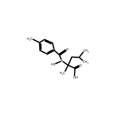 Cc1ccc(C(=O)N(S)C(C)(CC(C)C)C(=O)O)cc1